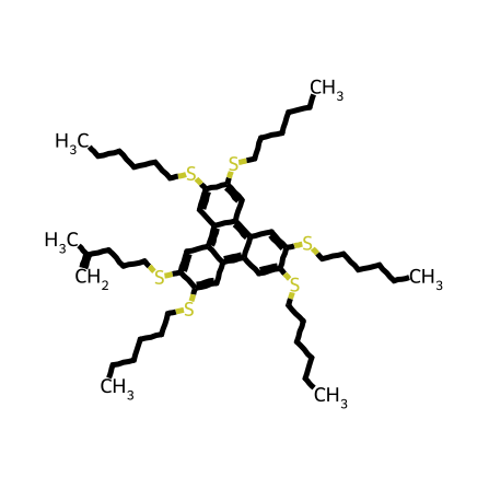 C=C(C)CCCSc1cc2c3cc(SCCCCCC)c(SCCCCCC)cc3c3cc(SCCCCCC)c(SCCCCCC)cc3c2cc1SCCCCCC